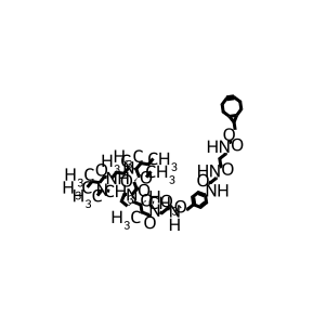 CC[C@H](C)[C@@H]([C@@H](CC(=O)N1CCC[C@H]1[C@H](OC)[C@@H](C)C(=O)NCC(=O)NOCc1ccc(NC(=O)CNC(=O)CCNC(=O)OCC2C3CCC#CCCC32)cc1)OC)N(C)C(=O)CNC(=O)C(C(C)C)N(C)C